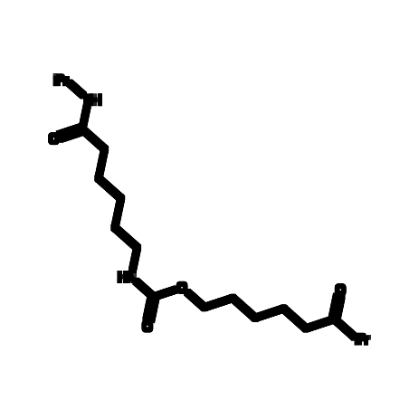 CC(C)NC(=O)CCCCCNC(=O)OCCCCCC(=O)C(C)C